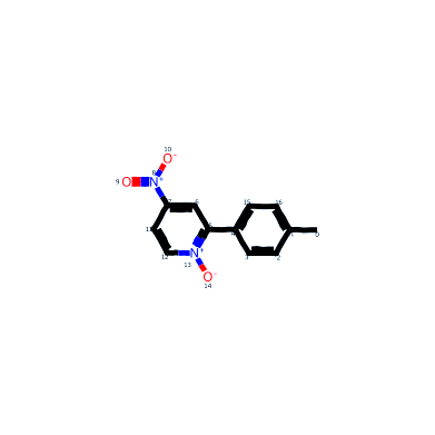 Cc1ccc(-c2cc([N+](=O)[O-])cc[n+]2[O-])cc1